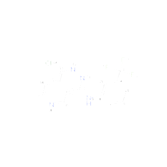 FC(F)(F)c1cccc(Nc2nnc(Cl)c3ccncc23)c1